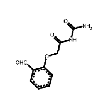 NC(=O)NC(=O)COc1ccccc1C=O